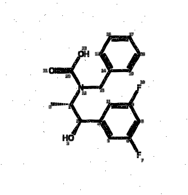 C[C@@H]([C@H](O)c1cc(F)cc(F)c1)N(Cc1ccccc1)C(=O)O